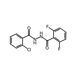 O=C(NNC(=O)c1c(F)cccc1F)c1ccccc1Cl